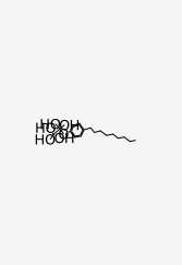 CCCCCCCCCc1ccc(OC(O)(O)C(O)(O)O)cc1